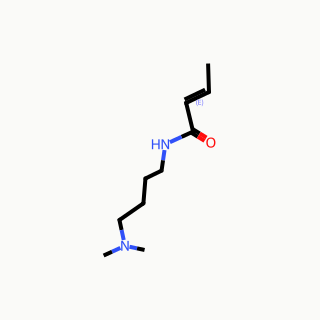 C/C=C/C(=O)NCCCCN(C)C